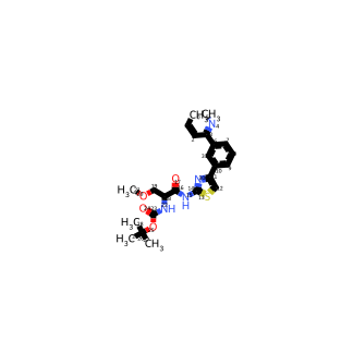 C/C=C\C(=N/C)c1cccc(-c2csc(NC(=O)C(COC)NC(=O)OC(C)(C)C)n2)c1